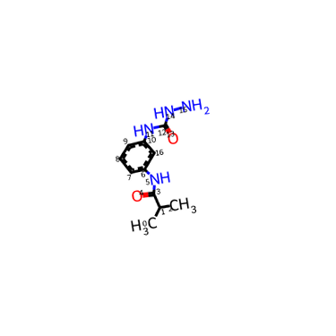 CC(C)C(=O)Nc1cccc(NC(=O)NN)c1